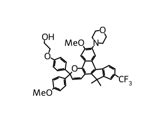 COc1ccc(C2(c3ccc(OCCO)cc3)C=Cc3c4c(c5cc(N6CCOCC6)c(OC)cc5c3O2)-c2ccc(C(F)(F)F)cc2C4(C)C)cc1